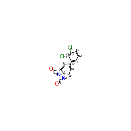 O=C=NC1(N=C=O)C=CC(c2cccc(Cl)c2Cl)=CC1